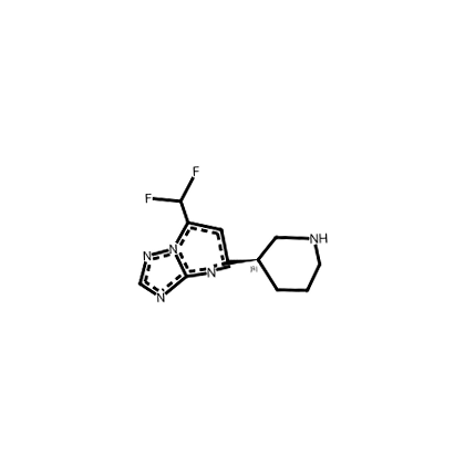 FC(F)c1cc([C@@H]2CCCNC2)nc2ncnn12